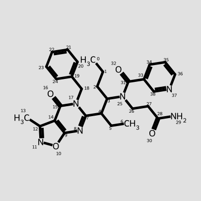 CCCC(C(CC)c1nc2onc(C)c2c(=O)n1Cc1ccccc1)N(CCC(N)=O)C(=O)c1cccnc1